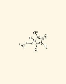 COCCC1(Cl)C(Cl)=C(Cl)C(Cl)=C1Cl